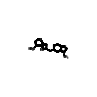 Cn1cnc2ccc(Cc3cc4nccc(C(=O)O)c4[nH]3)cc21